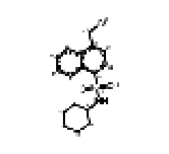 O=S(=O)(NC1CCCCC1)c1ccc(CBr)c2ccccc12